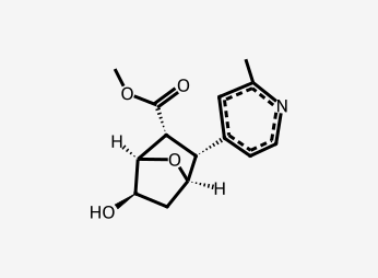 COC(=O)[C@H]1[C@H]2O[C@H](C[C@H]2O)[C@H]1c1ccnc(C)c1